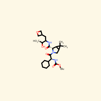 CC(C)(C)OC(=O)N[C@H](C(=O)N1CC2C([C@H]1C(=O)NC(CC1COC1)C(O)C(=O)O)C2(C)C)C1CCCCC1